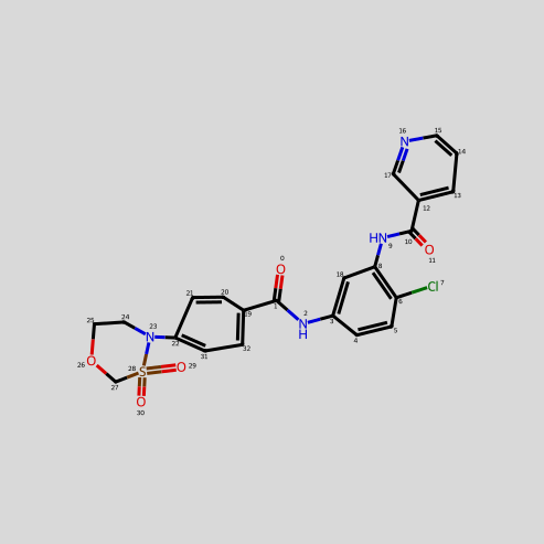 O=C(Nc1ccc(Cl)c(NC(=O)c2cccnc2)c1)c1ccc(N2CCOCS2(=O)=O)cc1